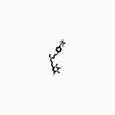 CCN(CCCc1cc(=O)n(C)c(=O)n1C)CCOc1ccc(NS(C)(=O)=O)cc1